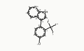 FC(F)(F)c1cc(Cl)ccc1-c1c[nH]c2ncccc12